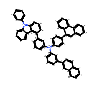 c1ccc(-n2c3ccccc3c3c(-c4cccc(N(c5ccc(-c6cc7ccccc7c7ccccc67)cc5)c5cccc(-c6ccc7ccccc7c6)c5)c4)cccc32)cc1